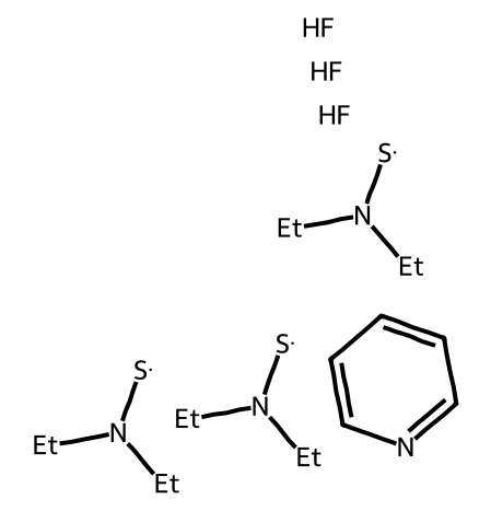 CCN([S])CC.CCN([S])CC.CCN([S])CC.F.F.F.c1ccncc1